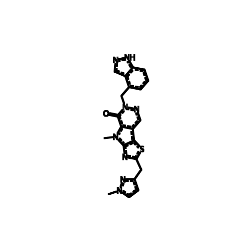 Cn1ccc(Cc2nc3c(s2)c2cnn(Cc4cccc5[nH]ncc45)c(=O)c2n3C)n1